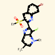 CCn1cc(C(F)(F)F)cc2nc(-c3nc4cc(Br)ccc4cc3S(=O)(=O)CC)c(F)c1-2